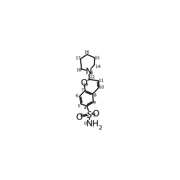 NS(=O)(=O)c1ccc2c(c1)C=CC(N1CCCCC1)O2